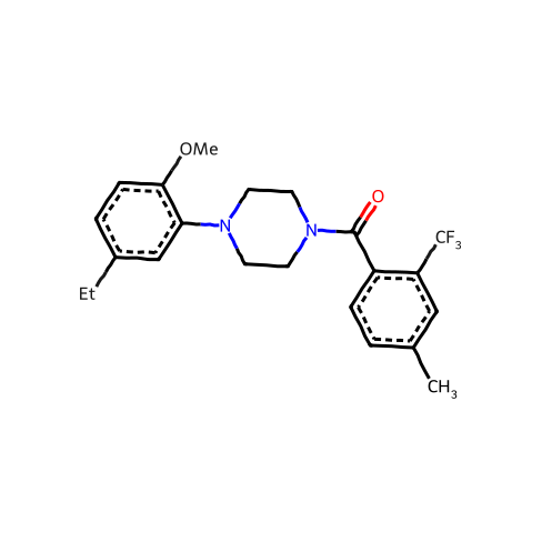 CCc1ccc(OC)c(N2CCN(C(=O)c3ccc(C)cc3C(F)(F)F)CC2)c1